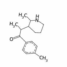 Cc1ccc(C(=O)C(C)C2CCCNC2C)cc1